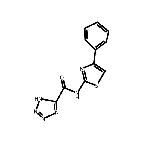 O=C(Nc1nc(-c2ccccc2)cs1)c1nnn[nH]1